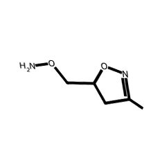 CC1=NOC(CON)C1